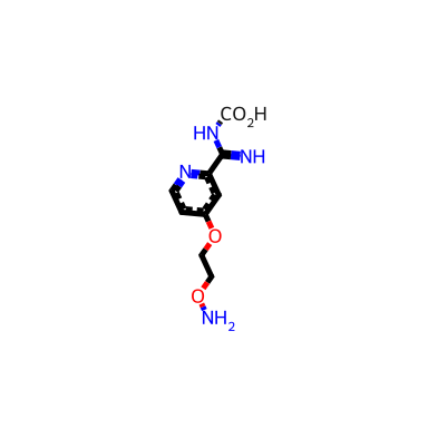 N=C(NC(=O)O)c1cc(OCCON)ccn1